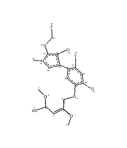 CO/C(=C/C(O)OC)COc1cc(-c2nn(C)c(OCF)c2Cl)c(F)cc1Cl